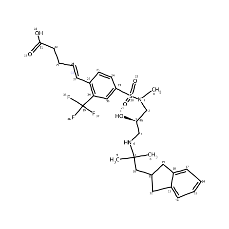 CN(C[C@H](O)CNC(C)(C)CC1Cc2ccccc2C1)S(=O)(=O)c1ccc(/C=C/CCC(=O)O)c(C(F)(F)F)c1